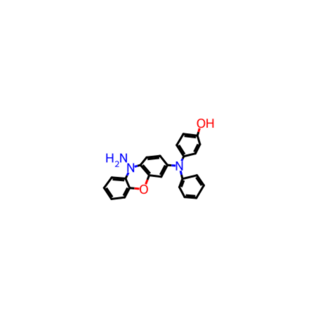 NN1c2ccccc2Oc2cc(N(c3ccccc3)c3ccc(O)cc3)ccc21